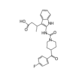 CC(CC(=O)O)c1c(NC(=O)N2CCC(C(=O)c3ccc(F)cc3)CC2)[nH]c2ccccc12